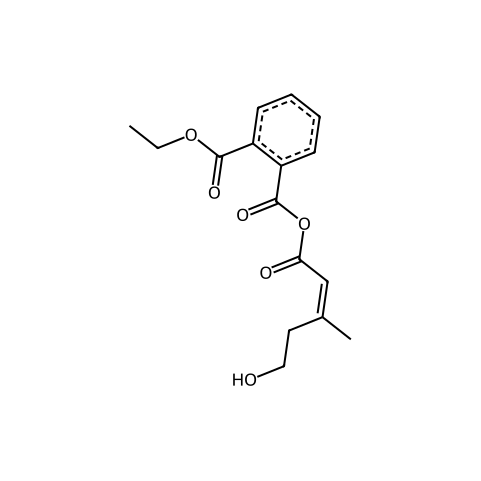 CCOC(=O)c1ccccc1C(=O)OC(=O)C=C(C)CCO